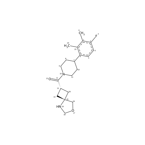 Cc1c(F)ccc(C2CCN(C(=O)[C@H]3C[C@]4(COCN4)C3)CC2)c1C